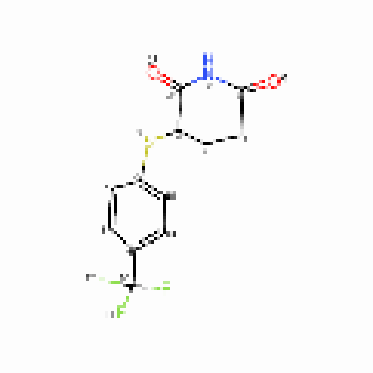 O=C1CCC(Sc2ccc(C(F)(F)F)cc2)C(=O)N1